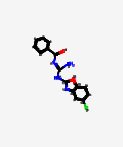 N/C(=N\C(=O)c1ccccc1)Nc1nc2cc(Cl)ccc2o1